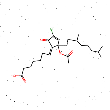 CC(=O)OC1(CCC(C)CCCC(C)C)C=C(Cl)C(=O)/C1=C\CCCCCC(=O)O